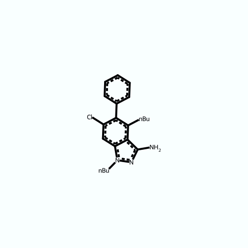 CCCCc1c(-c2ccccc2)c(Cl)cc2c1c(N)nn2CCCC